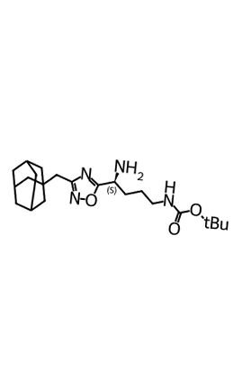 CC(C)(C)OC(=O)NCCC[C@H](N)c1nc(CC23CC4CC(CC(C4)C2)C3)no1